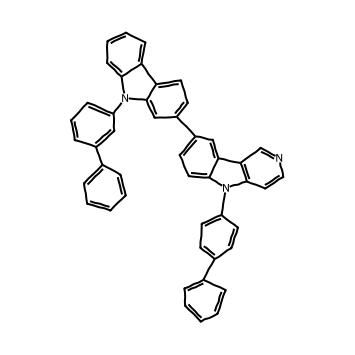 c1ccc(-c2ccc(-n3c4ccncc4c4cc(-c5ccc6c7ccccc7n(-c7cccc(-c8ccccc8)c7)c6c5)ccc43)cc2)cc1